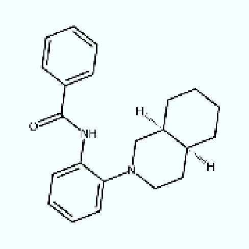 O=C(Nc1ccccc1N1CC[C@@H]2CCCC[C@@H]2C1)c1ccccc1